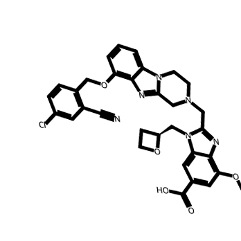 COc1cc(C(=O)O)cc2c1nc(CN1CCn3c(nc4c(OCc5ccc(Cl)cc5C#N)cccc43)C1)n2C[C@@H]1CCO1